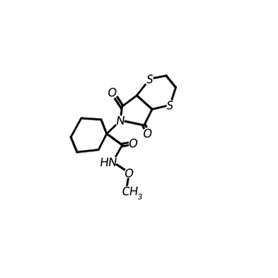 CONC(=O)C1(N2C(=O)C3SCCSC3C2=O)CCCCC1